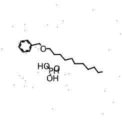 CCCCCCCCCCCOCc1ccccc1.O=[PH](O)O